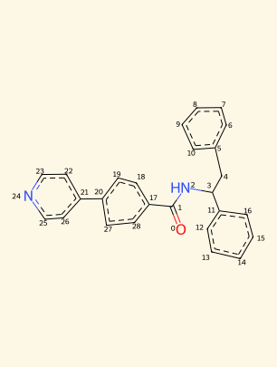 O=C(NC(Cc1ccccc1)c1ccccc1)c1ccc(-c2ccncc2)cc1